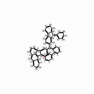 c1ccc(-c2ccccc2N(c2ccc3c(c2)-c2cccc4cc5ccccc5c-3c24)c2ccc3c4ccccc4n(-c4ccccc4)c3c2)cc1